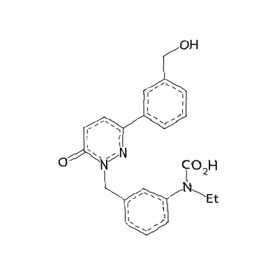 CCN(C(=O)O)c1cccc(Cn2nc(-c3cccc(CO)c3)ccc2=O)c1